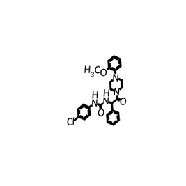 COc1ccccc1N1CCN(C(=O)C(NC(=O)Nc2ccc(Cl)cc2)c2ccccc2)CC1